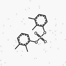 Cc1cccc(OS(=O)(=O)Oc2cccc(C)c2C)c1C